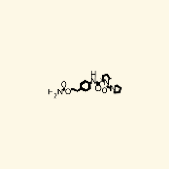 NC(=O)OCCc1ccc(NC(=O)[C@@H]2CCCN2C(=O)N2CCCC2)cc1